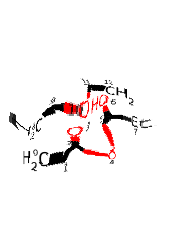 C=CC(=O)OC(O)CC.C=COC=C